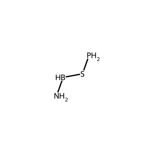 NBSP